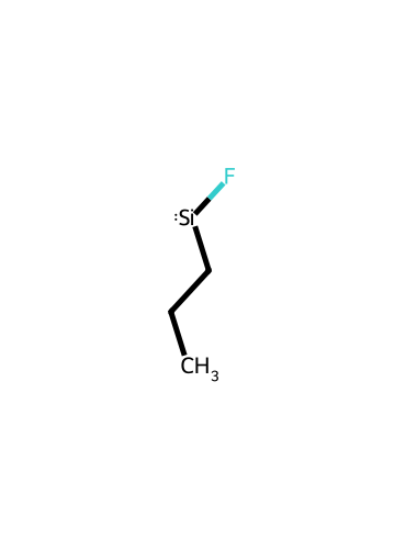 CCC[Si]F